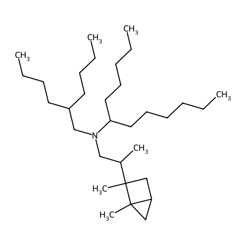 CCCCCCC(CCCCC)N(CC(CCCC)CCCC)CC(C)C1(C)CC2CC21C